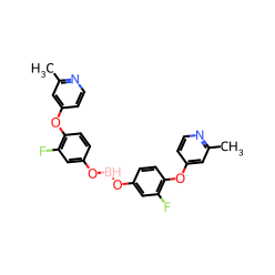 Cc1cc(Oc2ccc(OBOc3ccc(Oc4ccnc(C)c4)c(F)c3)cc2F)ccn1